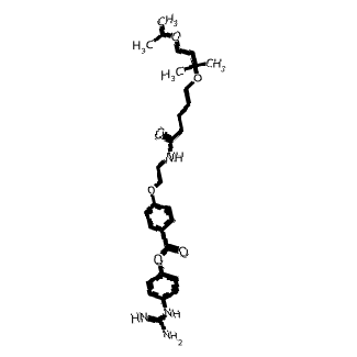 CC(C)OCCC(C)(C)OCCCCC(=O)NCCOc1ccc(C(=O)Oc2ccc(NC(=N)N)cc2)cc1